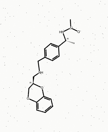 C[C@@H](N[S+](C)[O-])c1ccc(CNC[C@@H]2COc3ccccc3O2)cc1